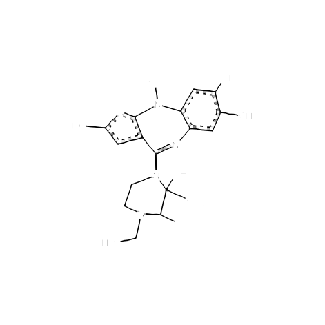 [2H]N1c2cc(C)c(C)cc2N=C(N2CCN(CC)C(C)C2(C)C)c2cc(C)sc21